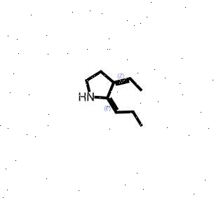 C/C=C1/CCN/C1=C/CC